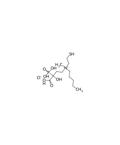 CCCCC[N+](C)(CCS)CCC(O)(C(=O)O)P(=O)(O)O.[Cl-]